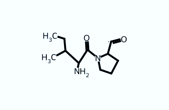 CCC(C)C(N)C(=O)N1CCCC1[C]=O